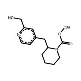 CC(C)(C)OC(=O)N1CCCCC1Cc1ccnc(CO)c1